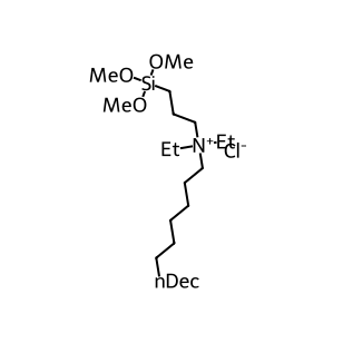 CCCCCCCCCCCCCCCC[N+](CC)(CC)CCC[Si](OC)(OC)OC.[Cl-]